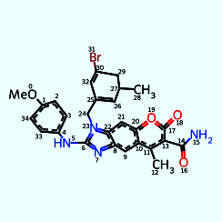 COc1ccc(Nc2nc3cc4c(C)c(C(N)=O)c(=O)oc4cc3n2CC2=CC(C)CC(Br)=C2)cc1